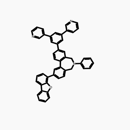 c1ccc(N2Cc3cc(-c4cc(-c5cccnc5)cc(-c5cccnc5)c4)ccc3-c3cc(-c4cccc5c4oc4ccccc45)ccc3C2)cc1